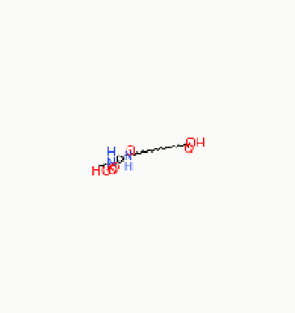 CCC[C@H](NC(=O)[C@H]1CC[C@H](CNC(=O)CCCCCCCCCCCCCCCCCCC(=O)O)CC1)C(=O)O